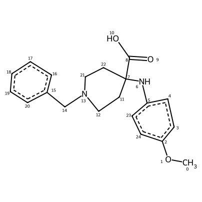 COc1ccc(NC2(C(=O)O)CCN(Cc3ccccc3)CC2)cc1